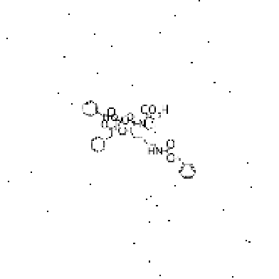 O=C(NCCCCC(OP(=O)(O)[C@@H](Cc1ccccc1)OC(=O)c1ccccc1)C(=O)N1CCC[C@H]1C(=O)O)OCc1ccccc1